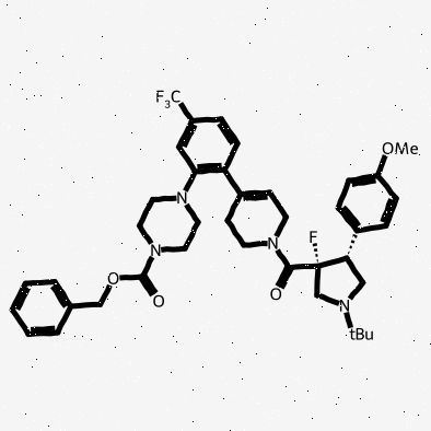 COc1ccc([C@@H]2CN(C(C)(C)C)C[C@@]2(F)C(=O)N2CC=C(c3ccc(C(F)(F)F)cc3N3CCN(C(=O)OCc4ccccc4)CC3)CC2)cc1